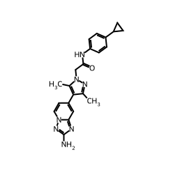 Cc1nn(CC(=O)Nc2ccc(C3CC3)cc2)c(C)c1-c1ccn2nc(N)nc2c1